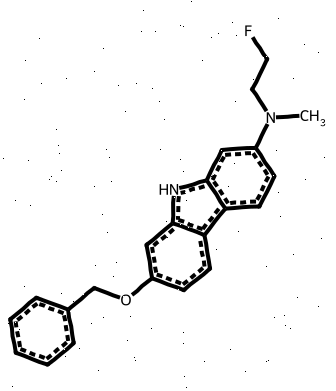 CN(CCF)c1ccc2c(c1)[nH]c1cc(OCc3ccccc3)ccc12